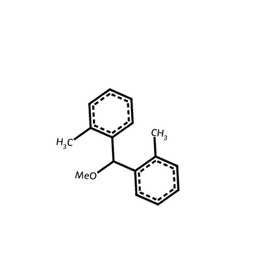 [CH2]OC(c1ccccc1C)c1ccccc1C